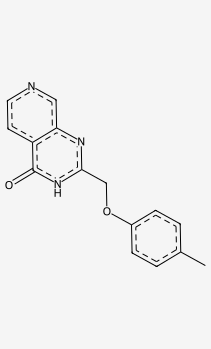 Cc1ccc(OCc2nc3cnccc3c(=O)[nH]2)cc1